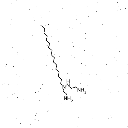 CCCCCCCCCCCCCCCCCN(CCN)NCCN